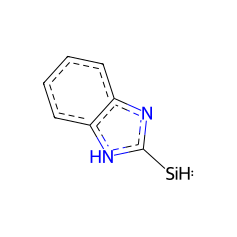 [SiH]c1nc2ccccc2[nH]1